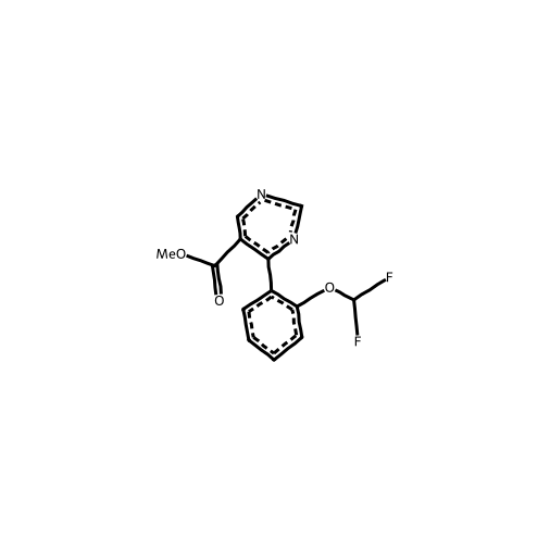 COC(=O)c1cncnc1-c1ccccc1OC(F)F